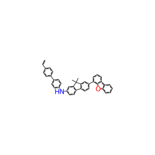 C=Cc1ccc(-c2ccc(Nc3ccc4c(c3)C(C)(C)c3cc(-c5cccc6c5oc5ccccc56)ccc3-4)cc2)cc1